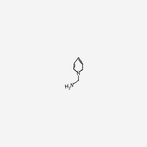 NCN1C=CC=CC1